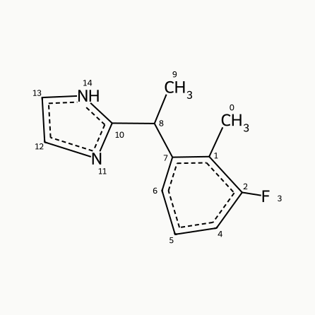 Cc1c(F)cccc1C(C)c1ncc[nH]1